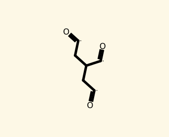 O=[C]CC([C]=O)C[C]=O